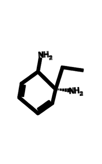 CC[C@@]1(N)C=CC=CC1N